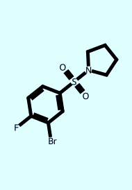 O=S(=O)(c1ccc(F)c(Br)c1)N1CCCC1